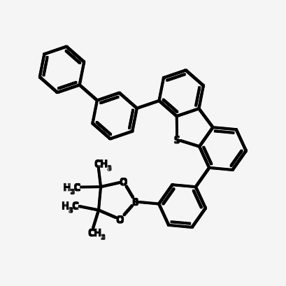 CC1(C)OB(c2cccc(-c3cccc4c3sc3c(-c5cccc(-c6ccccc6)c5)cccc34)c2)OC1(C)C